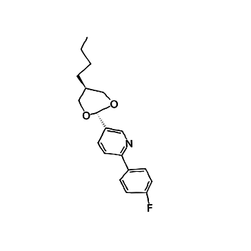 CCCC[C@H]1CO[C@H](c2ccc(-c3ccc(F)cc3)nc2)OC1